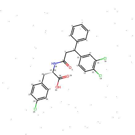 O=C(CC(c1ccccc1)c1ccc(Cl)c(Cl)c1)N[C@@H](Cc1ccc(Cl)cc1)C(=O)O